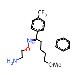 COCCCC/C(=N\OCCN)c1ccc(C(F)(F)F)cc1.c1ccccc1